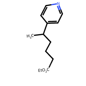 CCOC(=O)CCCC(C)c1ccncc1